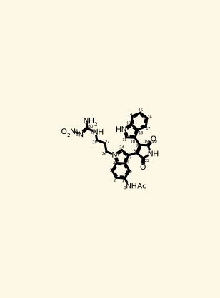 CC(=O)Nc1ccc2c(c1)c(C1=C(c3c[nH]c4ccccc34)C(=O)NC1=O)cn2CCCNC(N)=N[N+](=O)[O-]